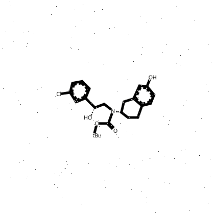 CC(C)(C)OC(=O)N(C[C@H](O)c1cccc(Cl)c1)[C@H]1CCc2ccc(O)cc2C1